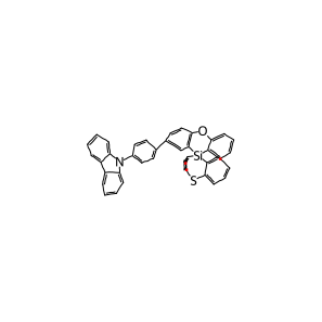 c1ccc2c(c1)Oc1ccc(-c3ccc(-n4c5ccccc5c5ccccc54)cc3)cc1[Si]21c2ccccc2Sc2ccccc21